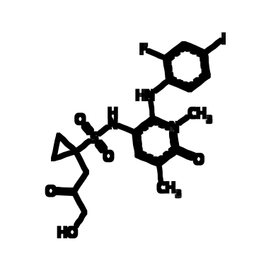 Cc1cc(NS(=O)(=O)C2(CC(=O)CO)CC2)c(Nc2ccc(I)cc2F)n(C)c1=O